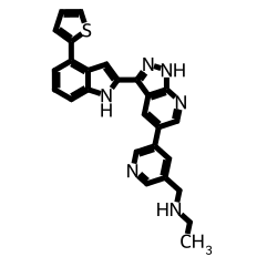 CCNCc1cncc(-c2cnc3[nH]nc(-c4cc5c(-c6cccs6)cccc5[nH]4)c3c2)c1